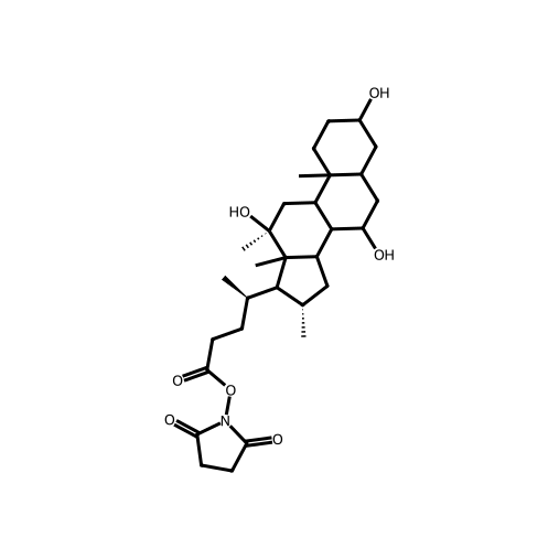 C[C@H](CCC(=O)ON1C(=O)CCC1=O)C1[C@@H](C)CC2C3C(O)CC4CC(O)CCC4(C)C3C[C@](C)(O)C21C